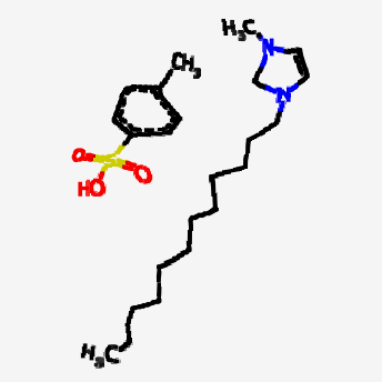 CCCCCCCCCCCCN1C=CN(C)C1.Cc1ccc(S(=O)(=O)O)cc1